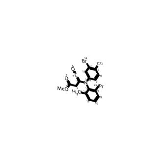 COC(=O)CC(=C=O)N(c1ccc(F)c(Br)c1)c1c(C)cccc1C(C)C